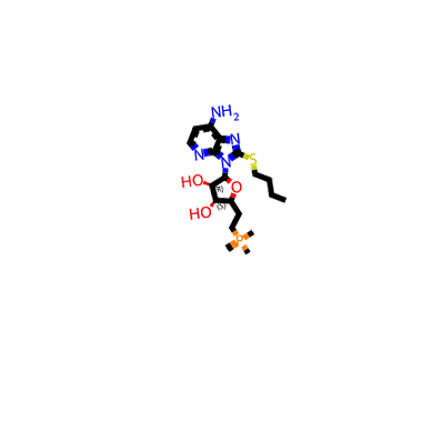 C=P(C)(C)CCC1OC(n2c(SCCCC)nc3c(N)ccnc32)[C@H](O)[C@@H]1O